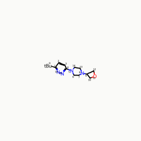 CC(C)(C)c1ccc(N2CCN(C3COC3)CC2)nn1